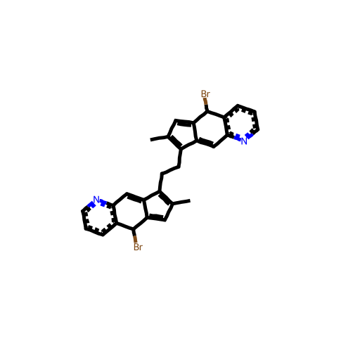 CC1=C(CCC2=C(C)C=C3C2=Cc2ncccc2C3Br)C2=Cc3ncccc3C(Br)C2=C1